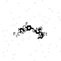 CCC12CCC(C)N1c1cc(OCc3cc(F)c(Oc4cnc(C(F)(F)F)nc4)c(F)c3)nc(=O)n1C2